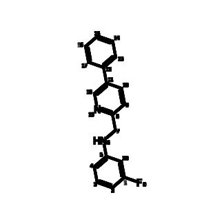 Fc1cccc(NCc2ccc(-c3ccccc3)cn2)c1